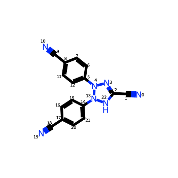 N#CC1=NN(c2ccc(C#N)cc2)N(c2ccc(C#N)cc2)N1